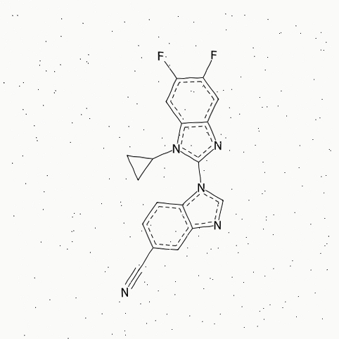 N#Cc1ccc2c(c1)ncn2-c1nc2cc(F)c(F)cc2n1C1CC1